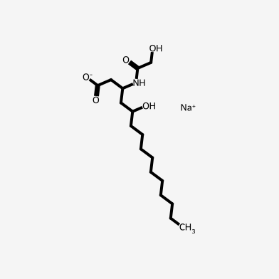 CCCCCCCCCCC(O)CC(CC(=O)[O-])NC(=O)CO.[Na+]